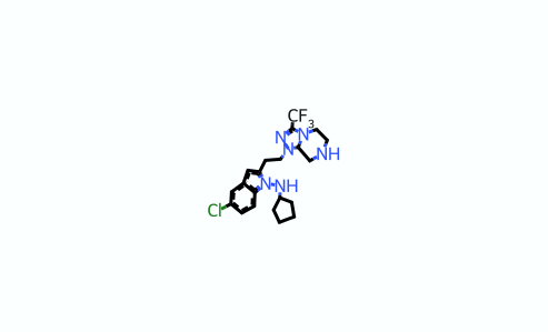 FC(F)(F)C1=NN(CCc2cc3cc(Cl)ccc3n2NC2CCCC2)C2CNCCN12